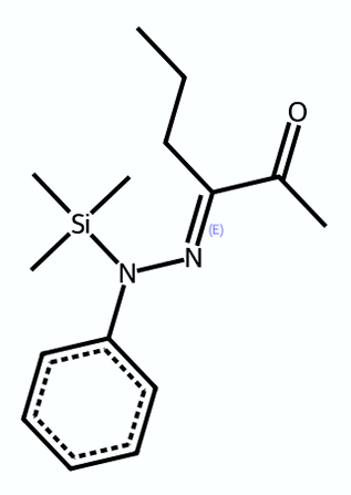 CCC/C(=N\N(c1ccccc1)[Si](C)(C)C)C(C)=O